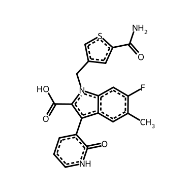 Cc1cc2c(-c3ccc[nH]c3=O)c(C(=O)O)n(Cc3csc(C(N)=O)c3)c2cc1F